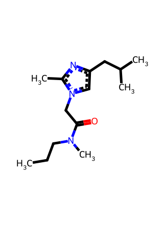 CCCN(C)C(=O)Cn1cc(CC(C)C)nc1C